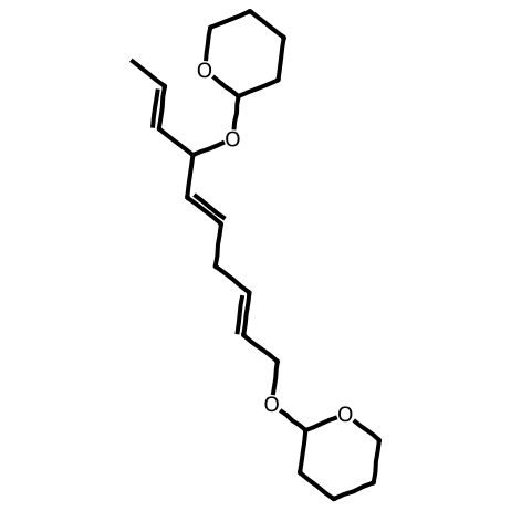 CC=CC(C=CCC=CCOC1CCCCO1)OC1CCCCO1